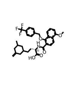 C=C1CC(C)CC(CC[C@H](NC(=O)c2ccc3c(OC)cccc3c2OCc2ccc(C(F)(F)F)cc2)C(=O)O)C1